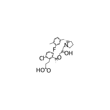 Cc1ccc(C[C@@H]2CCCN2C[C@H](O)CO[C@H](C)c2cccc(Cl)c2CCC(=O)O)cc1F